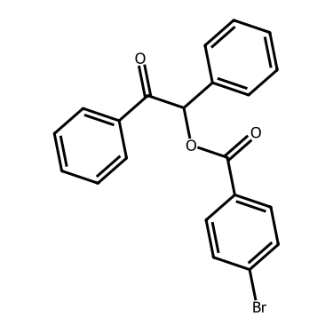 O=C(OC(C(=O)c1ccccc1)c1ccccc1)c1ccc(Br)cc1